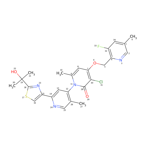 Cc1cnc(COc2cc(C)n(-c3cc(-c4csc(C(C)(C)O)n4)ncc3C)c(=O)c2Cl)c(F)c1